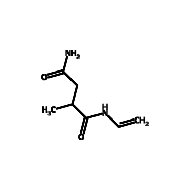 C=CNC(=O)C(C)CC(N)=O